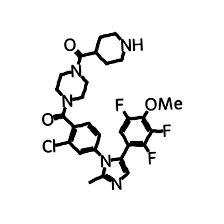 COc1c(F)cc(-c2cnc(C)n2-c2ccc(C(=O)N3CCN(C(=O)C4CCNCC4)CC3)c(Cl)c2)c(F)c1F